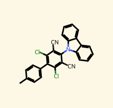 Cc1ccc(-c2c(Cl)c(C#N)c(-n3c4ccccc4c4ccccc43)c(C#N)c2Cl)cc1